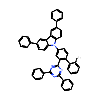 FC(F)(F)c1ccccc1-c1ccc(-n2c3ccc(-c4ccccc4)cc3c3cc(-c4ccccc4)ccc32)cc1-c1nc(-c2ccccc2)nc(-c2ccccc2)n1